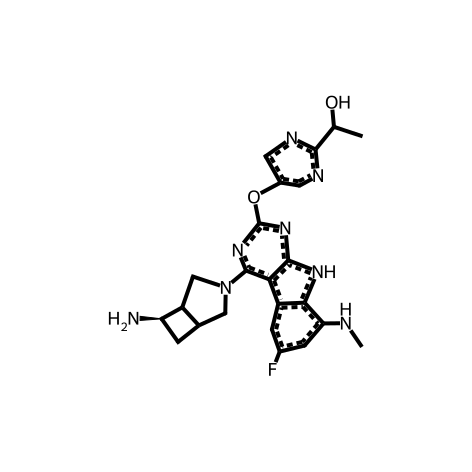 CNc1cc(F)cc2c1[nH]c1nc(Oc3cnc(C(C)O)nc3)nc(N3CC4C[C@@H](N)C4C3)c12